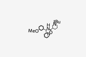 COc1cccc(C(NC(=O)C2CCCN(C(C)(C)C)C2)c2ccccn2)c1